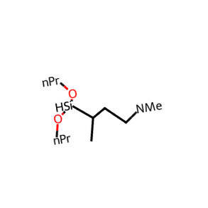 CCCO[SiH](OCCC)C(C)CCNC